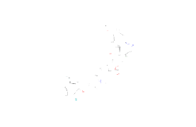 COc1ccc2ncc(Cl)c(C(O)CCC3(C(=O)O)CCN(CCOc4cc(F)ccc4F)CC3)c2c1